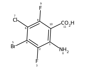 Nc1c(F)c(Br)c(Cl)c(F)c1C(=O)O